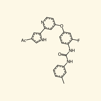 CC(=O)c1c[nH]c(-c2cc(Oc3ccc(NC(=O)Nc4cccc(C)c4)c(F)c3)ccn2)c1